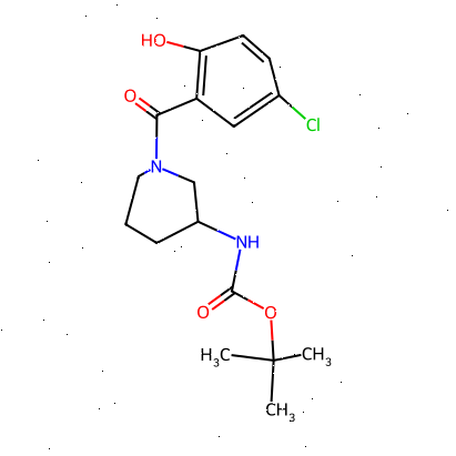 CC(C)(C)OC(=O)NC1CCCN(C(=O)c2cc(Cl)ccc2O)C1